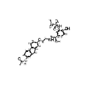 CC(=O)Nc1ccc2c(c1)Cc1cc(OCCNCC(O)c3ccc(O)c(NS(=O)(=O)N(C)C)c3)ccc1-2